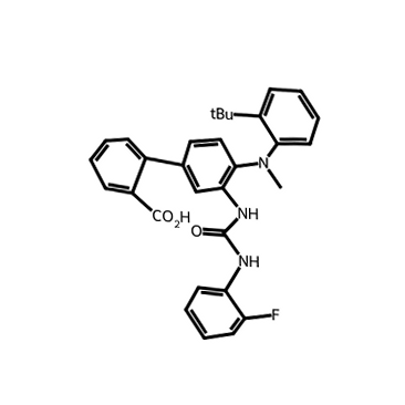 CN(c1ccc(-c2ccccc2C(=O)O)cc1NC(=O)Nc1ccccc1F)c1ccccc1C(C)(C)C